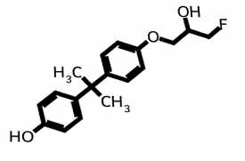 CC(C)(c1ccc(O)cc1)c1ccc(OCC(O)CF)cc1